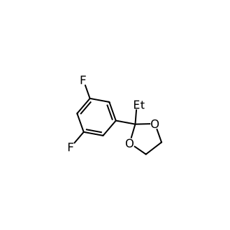 CCC1(c2cc(F)cc(F)c2)OCCO1